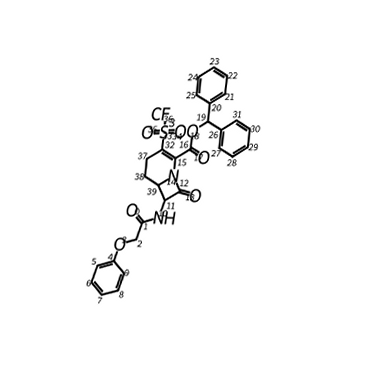 O=C(COc1ccccc1)NC1C(=O)N2C(C(=O)OC(c3ccccc3)c3ccccc3)=C(S(=O)(=O)C(F)(F)F)CCC12